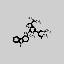 C=N/C=C(\C=C(/C)F)c1nc(N[C@@]2(C)CCc3[nH]c4ccccc4c3C2)n2ncc(C(C)C)c2n1